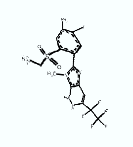 CCS(=O)(=O)c1cc(N)c(I)cc1-c1nc2c(n1C)NNC(C(F)(F)C(F)(F)F)=C2